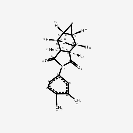 Cc1ccc(N2C(=O)[C@@H]3[C@@H]4CC[C@@H]([C@@H]5C[C@@H]54)[C@@H]3C2=O)cc1C